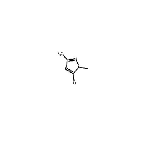 Cn1nc(C(F)(F)F)[c]c1Cl